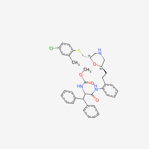 COC(=O)NC(C(=O)Nc1ccccc1CC[C@@H]1CNC[C@@H](CSc2ccc(Cl)cc2C)O1)C(c1ccccc1)c1ccccc1